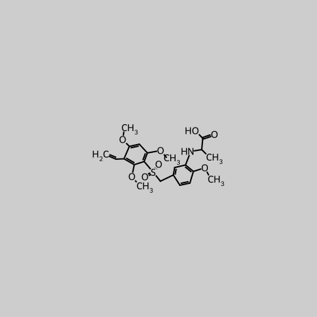 C=Cc1c(OC)cc(OC)c(S(=O)(=O)Cc2ccc(OC)c(NC(C)C(=O)O)c2)c1OC